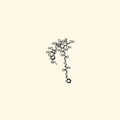 Nc1ccn([C@@H]2O[C@H](COP(=O)(O)OC3(C(=O)O)CC(O)C(NC(=O)CNC(=O)CCOCCNC(=O)CCSSc4ccccn4)C(C(O)[C@H](O)CO)O3)C(O)[C@@H]2O)c(=O)n1